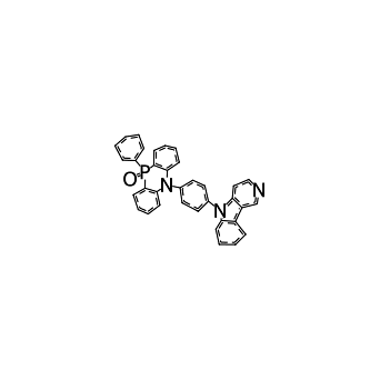 O=P1(c2ccccc2)c2ccccc2N(c2ccc(-n3c4ccccc4c4cnccc43)cc2)c2ccccc21